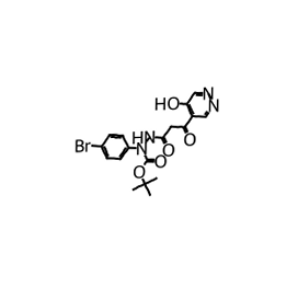 CC(C)(C)OC(=O)N(NC(=O)CC(=O)c1cnncc1O)c1ccc(Br)cc1